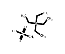 CC[N+](CC)(CC)CC.CS(=O)(=O)O